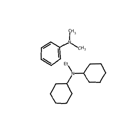 CCN(C1CCCCC1)C1CCCCC1.CN(C)c1ccccc1